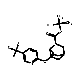 CC(C)(C)OC(=O)N1CC2CCC1C(Oc1ccc(C(F)(F)F)cn1)C2